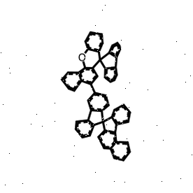 c1ccc2c(c1)Oc1c(cc(-c3ccc4c(c3)-c3ccccc3C43c4ccccc4-c4c3ccc3ccccc43)c3ccccc13)C21c2ccccc2-c2ccccc21